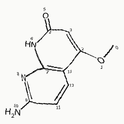 COc1cc(=O)[nH]c2nc(N)ccc12